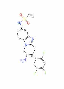 CS(=O)(=O)NC1=Cc2nc3n(c2CC1)CC(N)[C@@H](C1CC(F)=C(F)C=C1F)C3